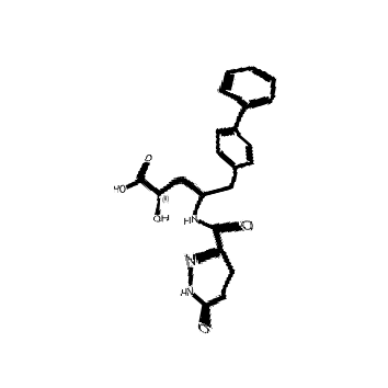 O=C1CCC(C(=O)NC(Cc2ccc(-c3ccccc3)cc2)C[C@@H](O)C(=O)O)=NN1